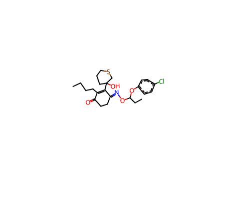 CCCCC1=C(C2(O)CCCSC2)/C(=N/OC(CC)Oc2ccc(Cl)cc2)CCC1=O